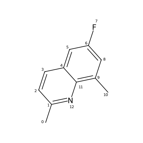 Cc1ccc2cc(F)cc(C)c2n1